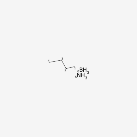 B.CCCC.N